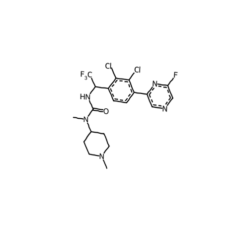 CN1CCC(N(C)C(=O)NC(c2ccc(-c3cncc(F)n3)c(Cl)c2Cl)C(F)(F)F)CC1